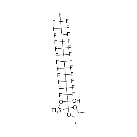 CCOC([SiH3])(OCC)C(O)(OCC)C(F)(F)C(F)(F)C(F)(F)C(F)(F)C(F)(F)C(F)(F)C(F)(F)C(F)(F)C(F)(F)C(F)(F)C(F)(F)C(F)(F)F